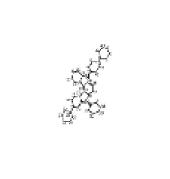 C1CCC(C2CCC(N3C4CCCCC4C4C5C6CCC(C7CCCCC7)CC6N(C6CCCCC6)C5CCC43)CC2)CC1